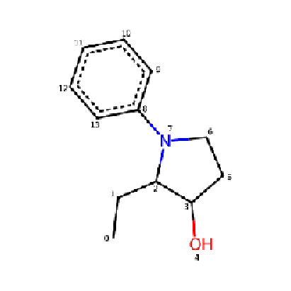 CCC1C(O)CCN1c1ccccc1